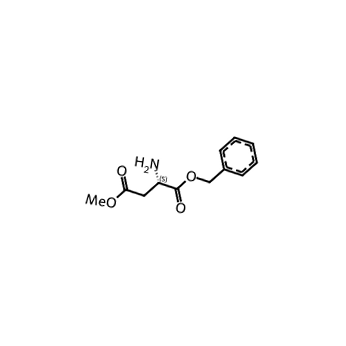 COC(=O)C[C@H](N)C(=O)OCc1ccccc1